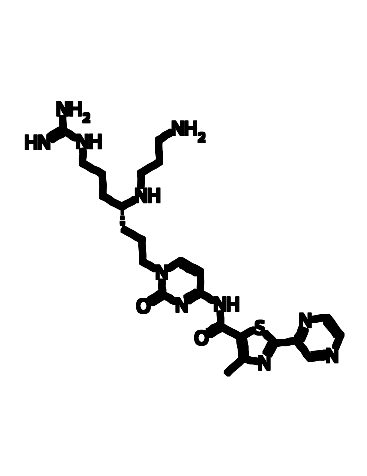 Cc1nc(-c2cnccn2)sc1C(=O)Nc1ccn(CCC[C@H](CCCNC(=N)N)NCCCN)c(=O)n1